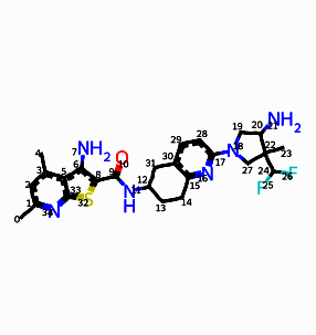 Cc1cc(C)c2c(N)c(C(=O)NC3CCc4nc(N5CC(N)C(C)(C(F)F)C5)ccc4C3)sc2n1